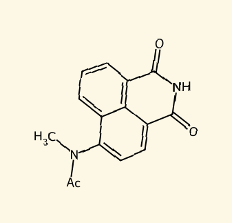 CC(=O)N(C)c1ccc2c3c(cccc13)C(=O)NC2=O